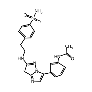 CC(=O)Nc1cccc(-c2cnc3sc(NCCc4ccc(S(N)(=O)=O)cc4)nn23)c1